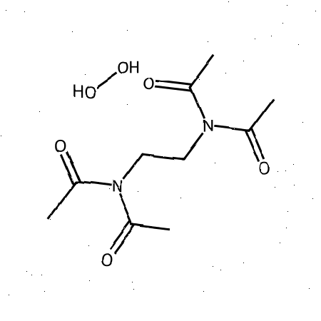 CC(=O)N(CCN(C(C)=O)C(C)=O)C(C)=O.OO